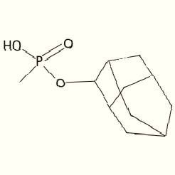 CP(=O)(O)OC1C2CC3CC(C2)CC1C3